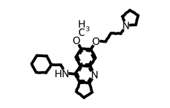 COc1cc2c(NCC3CCCCC3)c3c(nc2cc1OCCCN1CCCC1)CCC3